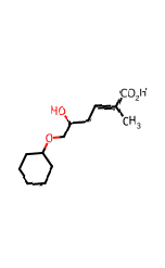 C/C(=C\CC(O)COC1CCCCC1)C(=O)O